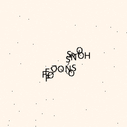 O=C(O)c1csc(SCCN2C(=S)OC[C@@H]2COc2cccc(OC(F)(F)F)c2)n1